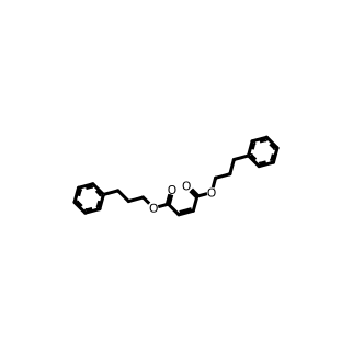 O=C(/C=C\C(=O)OCCCc1ccccc1)OCCCc1ccccc1